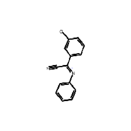 N#C/C(=N\c1ccccc1)c1cccc(Cl)c1